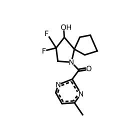 Cc1ccnc(C(=O)N2CC(F)(F)C(O)C23CCCC3)n1